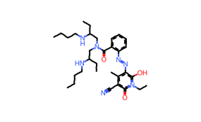 CCCCNC(CC)CN(CC(CC)NCCCC)C(=O)c1ccccc1/N=N/c1c(C)c(C#N)c(=O)n(CC)c1O